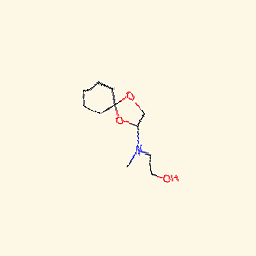 CN(CCO)C1COC2(CCCCC2)O1